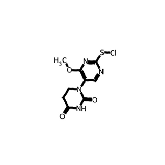 COc1nc(SCl)ncc1N1CCC(=O)NC1=O